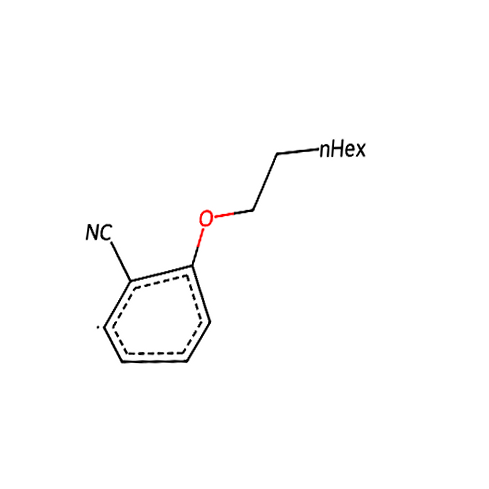 CCCCCCCCOc1ccc[c]c1C#N